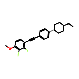 CC[C@H]1CC[C@H](c2ccc(C#Cc3ccc(OC)c(F)c3F)cc2)CC1